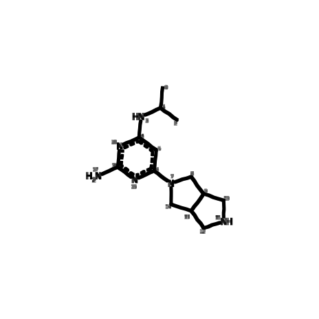 CC(C)Nc1cc(N2CC3CNCC3C2)nc(N)n1